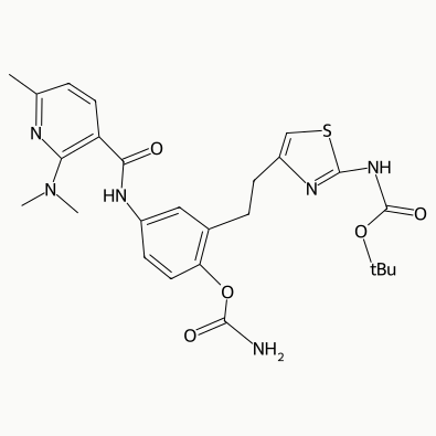 Cc1ccc(C(=O)Nc2ccc(OC(N)=O)c(CCc3csc(NC(=O)OC(C)(C)C)n3)c2)c(N(C)C)n1